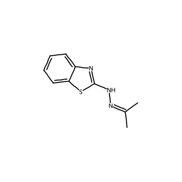 CC(C)=NNc1nc2ccccc2s1